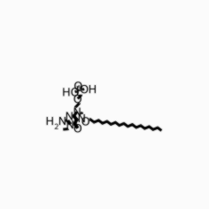 CCCCCCCCCCCCCCCCCCON1CN(CCOCP(=O)(O)O)c2nc(N)n(CC)c(=O)c21